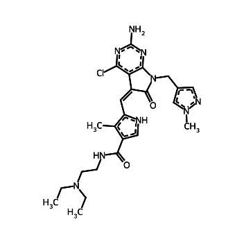 CCN(CC)CCNC(=O)c1c[nH]c(C=C2C(=O)N(Cc3cnn(C)c3)c3nc(N)nc(Cl)c32)c1C